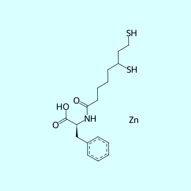 O=C(CCCCC(S)CCS)N[C@@H](Cc1ccccc1)C(=O)O.[Zn]